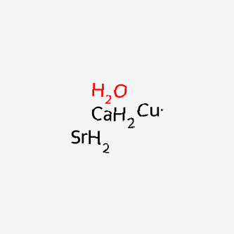 O.[CaH2].[Cu].[SrH2]